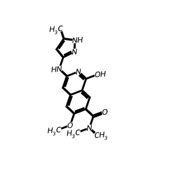 COc1cc2cc(Nc3cc(C)[nH]n3)nc(O)c2cc1C(=O)N(C)C